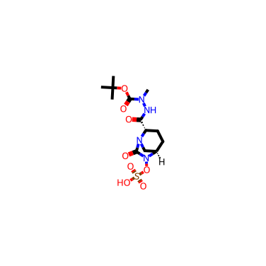 CN(NC(=O)[C@@H]1CC[C@@H]2CN1C(=O)N2OS(=O)(=O)O)C(=O)OC(C)(C)C